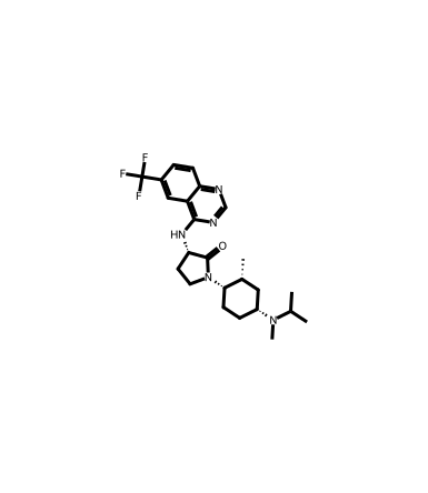 CC(C)N(C)[C@@H]1CC[C@H](N2CC[C@H](Nc3ncnc4ccc(C(F)(F)F)cc34)C2=O)[C@H](C)C1